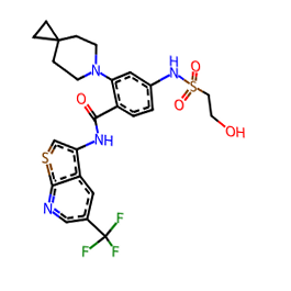 O=C(Nc1csc2ncc(C(F)(F)F)cc12)c1ccc(NS(=O)(=O)CCO)cc1N1CCC2(CC1)CC2